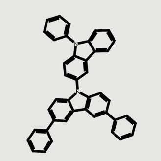 c1ccc(-c2ccc3c(c2)c2cc(-c4ccccc4)ccc2n3-c2ccc3c(c2)c2ccccc2n3-c2ccccc2)cc1